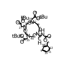 CC(NC(=O)OCc1ccccc1)N1CCCCN(CC(=O)OC(C)(C)C)CCN(CC(=O)OC(C)(C)C)CCN(CC(=O)OC(C)(C)C)CC1